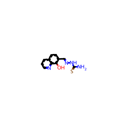 NC(=S)NN=Cc1ccc2cccnc2c1O